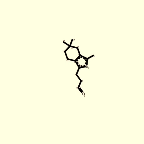 Cc1sc(CCC=O)c2c1CC(C)(C)CC2